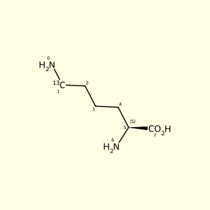 N[13CH2]CCC[C@H](N)C(=O)O